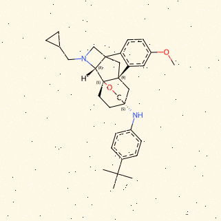 COc1ccc2c(c1)[C@]13CC24CN(CC2CC2)[C@H]4[C@]12CC[C@@](Nc1ccc(C(C)(C)C)cc1)(CO2)C3